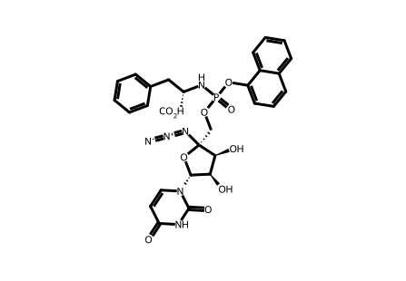 [N-]=[N+]=N[C@]1(COP(=O)(N[C@@H](Cc2ccccc2)C(=O)O)Oc2cccc3ccccc23)O[C@@H](n2ccc(=O)[nH]c2=O)[C@H](O)[C@@H]1O